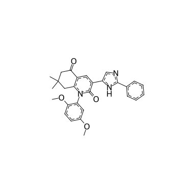 COc1ccc(OC)c(-n2c3c(cc(-c4cnc(-c5ccccc5)[nH]4)c2=O)C(=O)CC(C)(C)C3)c1